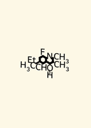 CCC(C)(C)c1cc(F)c2nc(C)c(C)c(O)c2c1